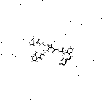 O=C(CCC(=O)N1Cc2ccccc2C#Cc2ccccc21)NC(COCCC(=O)N1CCSC1=S)COCCC(=O)N1CCSC1=S